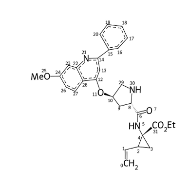 C=CC1C[C@]1(NC(=O)[C@@H]1C[C@@H](Oc2cc(-c3ccccc3)nc3cc(OC)ccc23)CN1)C(=O)OCC